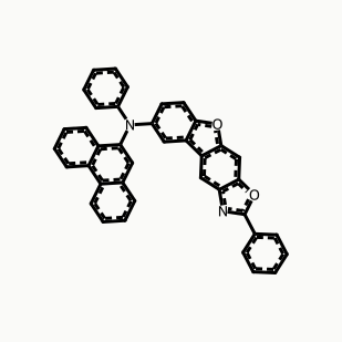 c1ccc(-c2nc3cc4c(cc3o2)oc2ccc(N(c3ccccc3)c3cc5ccccc5c5ccccc35)cc24)cc1